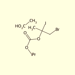 CC(=O)O.CC(C)OC(=O)OC(C)(I)CBr